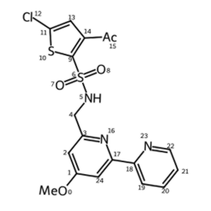 COc1cc(CNS(=O)(=O)c2sc(Cl)cc2C(C)=O)nc(-c2ccccn2)c1